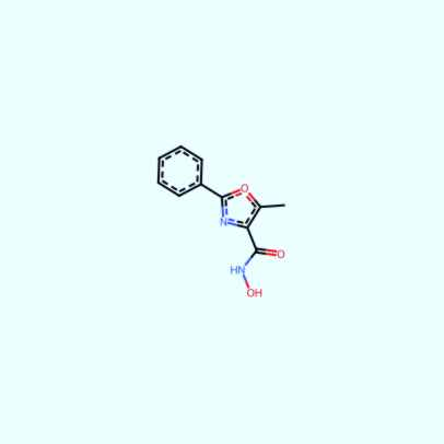 Cc1oc(-c2ccccc2)nc1C(=O)NO